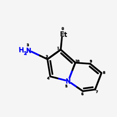 CCc1c(N)cn2ccccc12